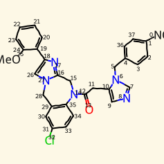 [C-]#[N+]c1ccc(Cn2cncc2CC(=O)N2Cc3nc(-c4ccccc4OC)cn3Cc3cc(Cl)ccc32)cc1